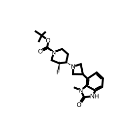 Cn1c(=O)[nH]c2cccc(C3CN([C@H]4CCN(C(=O)OC(C)(C)C)C[C@@H]4F)C3)c21